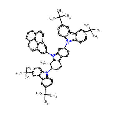 C[C@@H]1c2c(c3ccc(-n4c5ccc(C(C)(C)C)cc5c5cc(C(C)(C)C)ccc54)cc3n2-c2cc3ccc4cccc5ccc(c2)c3c45)C=CC1n1c2ccc(C(C)(C)C)cc2c2cc(C(C)(C)C)ccc21